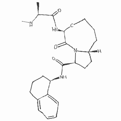 CN[C@@H](C)C(=O)N[C@H]1CCCC[C@@H]2CC[C@@H](C(=O)N[C@@H]3CCCc4ccccc43)N2C1=O